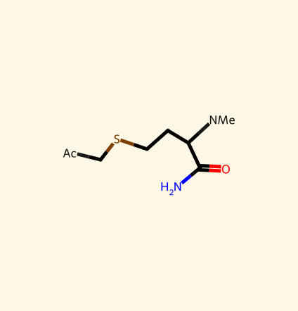 CNC(CCSCC(C)=O)C(N)=O